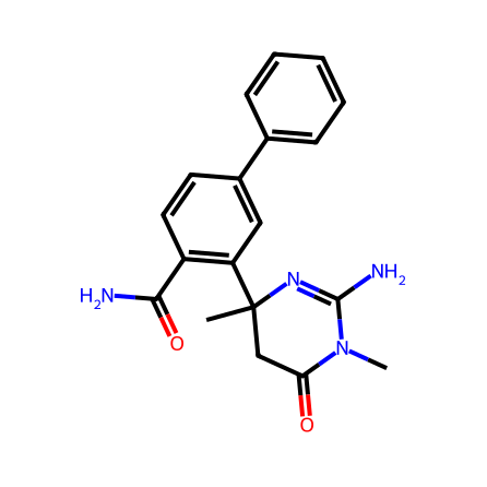 CN1C(=O)CC(C)(c2cc(-c3ccccc3)ccc2C(N)=O)N=C1N